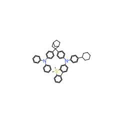 CS1(C)c2ccccc2-c2ccc(N(c3ccc(C4CCCCC4)cc3)c3ccc(C4(c5ccc(N(c6ccccc6)c6ccccc6)cc5)CC5CCC4C5)cc3)cc21